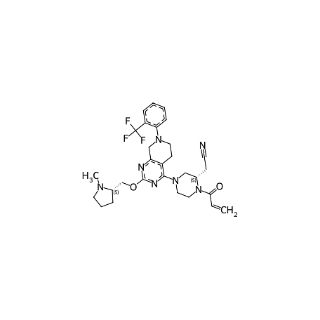 C=CC(=O)N1CCN(c2nc(OC[C@@H]3CCCN3C)nc3c2CCN(c2ccccc2C(F)(F)F)C3)C[C@@H]1CC#N